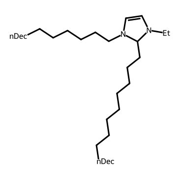 CCCCCCCCCCCCCCCCCCC1N(CC)C=CN1CCCCCCCCCCCCCCCC